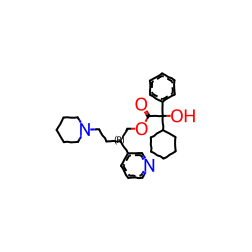 O=C(OC[C@H](CCN1CCCCC1)c1cccnc1)C(O)(c1ccccc1)C1CCCCC1